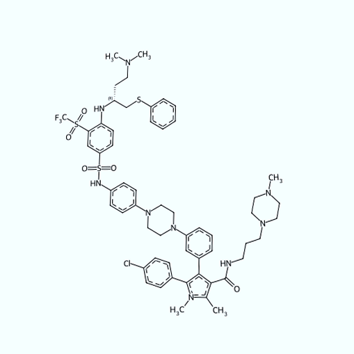 Cc1c(C(=O)NCCCN2CCN(C)CC2)c(-c2cccc(N3CCN(c4ccc(NS(=O)(=O)c5ccc(N[C@H](CCN(C)C)CSc6ccccc6)c(S(=O)(=O)C(F)(F)F)c5)cc4)CC3)c2)c(-c2ccc(Cl)cc2)n1C